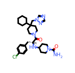 NC(=O)N1CCC(N[C@H](Cc2ccc(Cl)cc2)C(=O)N2CCC(Cn3cncn3)(C3CCCCC3)CC2)CC1